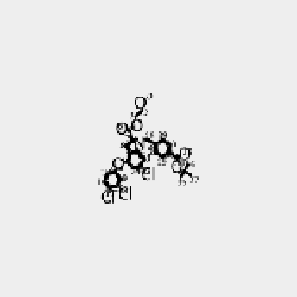 COCCOC(=O)c1cc2c(Oc3ccc(Cl)c(Cl)c3)cc(Cl)cc2n1Cc1ccc(C(=O)OC(C)(C)C)cc1